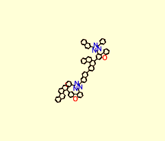 c1ccc(-c2nc(-c3ccc4ccccc4c3)nc(-c3cc(-c4cc5ccc(-c6ccc7cc(-c8nc(-c9ccccc9)nc(-c9cccc%10oc%11ccc(-c%12cccc%13ccc%14c%15ccccc%15ccc%14c%12%13)cc%11c9%10)n8)ccc7c6)cc5c5c4ccc4ccccc45)cc4oc5ccccc5c34)n2)cc1